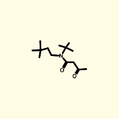 CC(=O)CC(=O)N(CCC(C)(C)C)C(C)(C)C